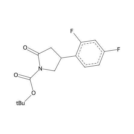 CC(C)(C)OC(=O)N1CC(c2ccc(F)cc2F)CC1=O